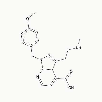 CNCCC1=NN(Cc2ccc(OC)cc2)C2N=CC=C(C(=O)O)C12